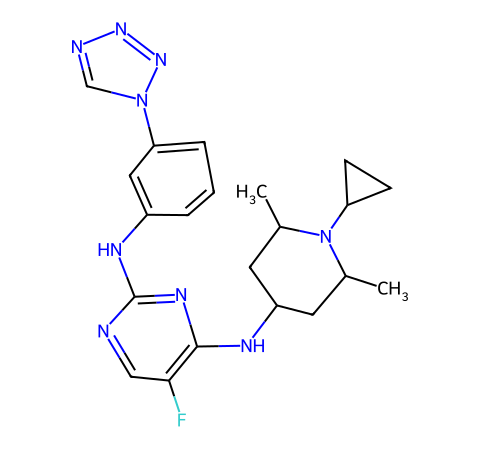 CC1CC(Nc2nc(Nc3cccc(-n4cnnn4)c3)ncc2F)CC(C)N1C1CC1